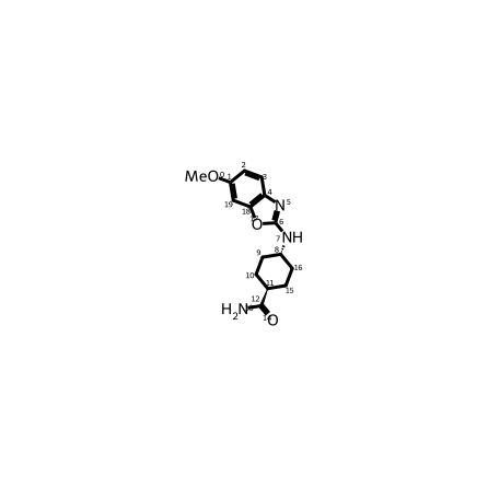 COc1ccc2nc(N[C@H]3CC[C@H](C(N)=O)CC3)oc2c1